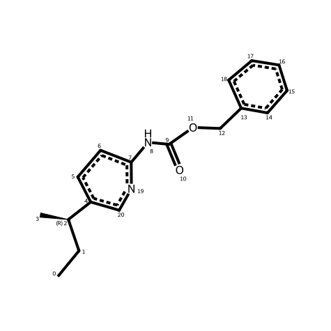 CC[C@@H](C)c1ccc(NC(=O)OCc2ccccc2)nc1